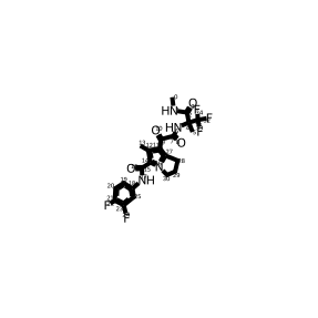 CNC(=O)C(C)(NC(=O)C(=O)c1c(C)c(C(=O)Nc2ccc(F)c(F)c2)n2c1CCC2)C(F)(F)F